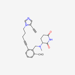 C#Cc1cncn1CCCC#Cc1cccc(C=O)c1CN(C)C1CCC(=O)NC1=O